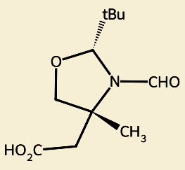 CC(C)(C)[C@H]1OC[C@@](C)(CC(=O)O)N1C=O